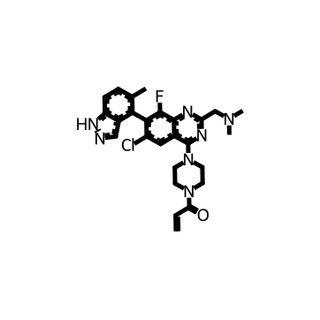 C=CC(=O)N1CCN(c2nc(CN(C)C)nc3c(F)c(-c4c(C)ccc5[nH]ncc45)c(Cl)cc23)CC1